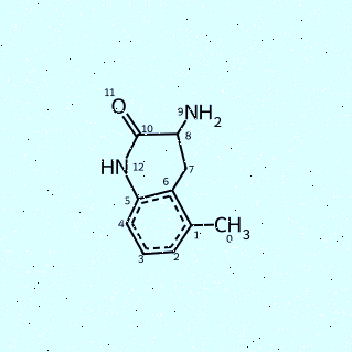 Cc1cccc2c1CC(N)C(=O)N2